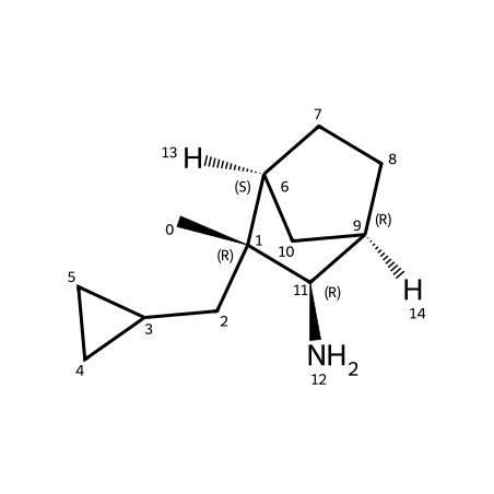 C[C@@]1(CC2CC2)[C@H]2CC[C@H](C2)[C@H]1N